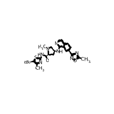 Cc1nc(-c2ccc3ccnc(N[C@H]4C[C@@H](C(=O)Nc5nc(C)c(C(C)(C)C)s5)N(C)C4)c3c2)no1